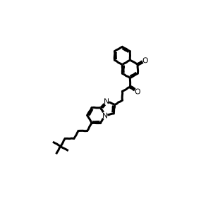 CC(C)(C)CCCCc1ccc2nc(CCC(=O)C3=CC(=O)C4C=CC=CC4=C3)cn2c1